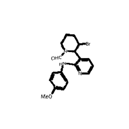 COc1ccc(Nc2ncccc2C2C(Br)CCCN2C=O)cc1